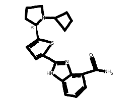 NC(=O)c1cccc2[nH]c(-c3ccc([C@H]4CCCN4C4CCC4)s3)nc12